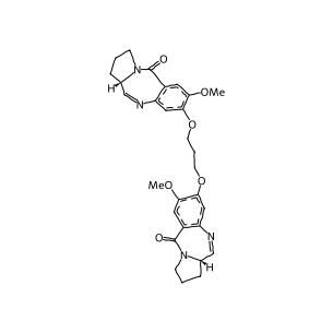 COc1cc2c(cc1OCCCOc1cc3c(cc1OC)C(=O)N1CCC[C@H]1C=N3)N=C[C@@H]1CCCN1C2=O